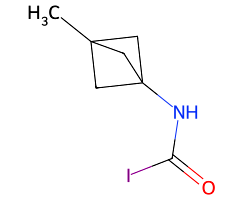 CC12CC(NC(=O)I)(C1)C2